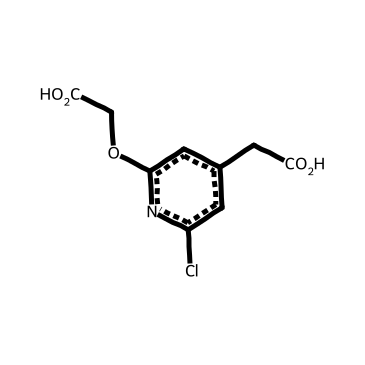 O=C(O)COc1cc(CC(=O)O)cc(Cl)n1